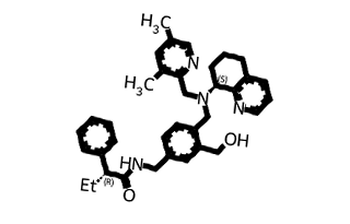 CC[C@@H](C(=O)NCc1ccc(CN(Cc2ncc(C)cc2C)[C@H]2CCCc3cccnc32)c(CO)c1)c1ccccc1